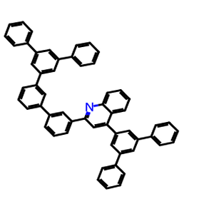 c1ccc(-c2cc(-c3ccccc3)cc(-c3cccc(-c4cccc(-c5cc(-c6cc(-c7ccccc7)cc(-c7ccccc7)c6)c6ccccc6n5)c4)c3)c2)cc1